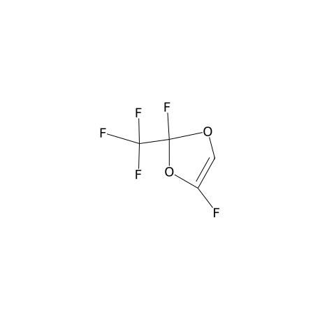 FC1=COC(F)(C(F)(F)F)O1